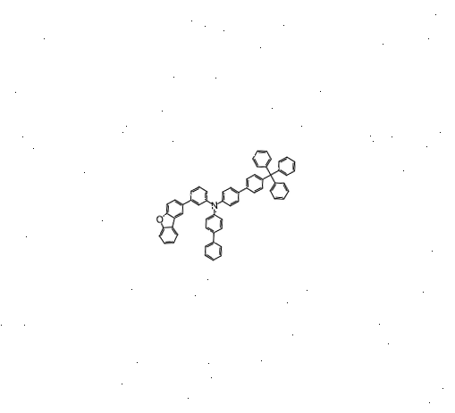 c1ccc(-c2ccc(N(c3ccc(-c4ccc(C(c5ccccc5)(c5ccccc5)c5ccccc5)cc4)cc3)c3cccc(-c4ccc5oc6ccccc6c5c4)c3)cc2)cc1